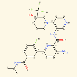 CC(C)NC(=O)c1ccc(F)c(-c2ccc(N)c(C(=O)Nc3cnccc3N3CCCC(O)(C(F)(F)F)C3)n2)c1